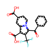 O=C(O)c1ccn2c(C(=O)c3ccccc3)c(C(F)(F)F)c(C(=O)O)c2c1